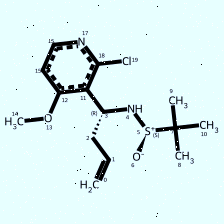 C=CC[C@@H](N[S@+]([O-])C(C)(C)C)c1c(OC)ccnc1Cl